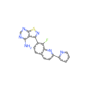 Nc1ncnc2snc(-c3ccc4ccc(-c5ccccn5)nc4c3F)c12